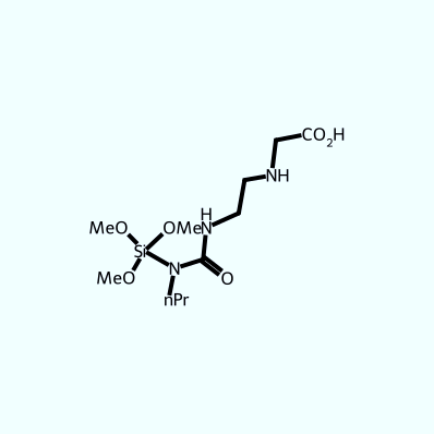 CCCN(C(=O)NCCNCC(=O)O)[Si](OC)(OC)OC